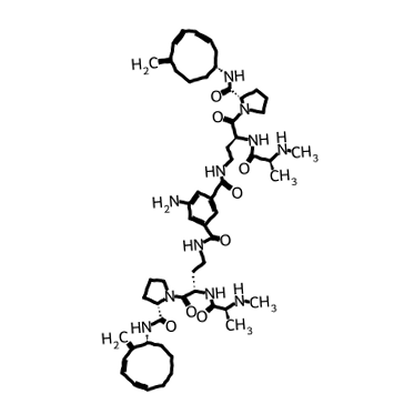 C=C1/C=C\C=C/C[C@H](NC(=O)[C@@H]2CCCN2C(=O)[C@H](CCNC(=O)c2cc(N)cc(C(=O)NCC[C@H](NC(=O)[C@H](C)NC)C(=O)N3CCC[C@H]3C(=O)N[C@@H]3CCCC/C=C\C=C/C3=C)c2)NC(=O)[C@H](C)NC)CCC1